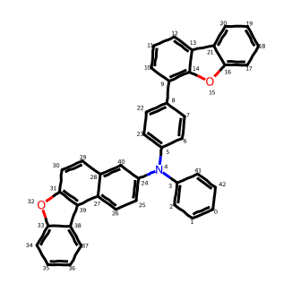 c1ccc(N(c2ccc(-c3cccc4c3oc3ccccc34)cc2)c2ccc3c(ccc4oc5ccccc5c43)c2)cc1